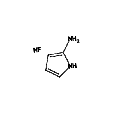 F.Nc1ccc[nH]1